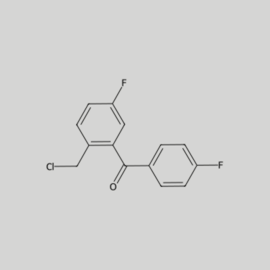 O=C(c1ccc(F)cc1)c1cc(F)ccc1CCl